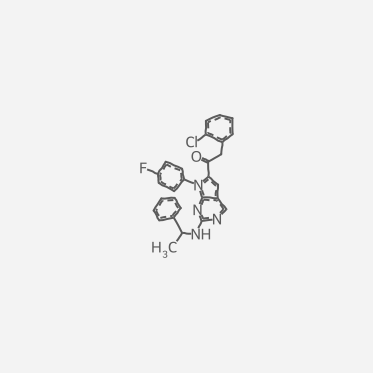 CC(Nc1ncc2cc(C(=O)Cc3ccccc3Cl)n(-c3ccc(F)cc3)c2n1)c1ccccc1